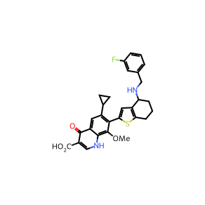 COc1c(-c2cc3c(s2)CCCC3NCc2cccc(F)c2)c(C2CC2)cc2c(=O)c(C(=O)O)c[nH]c12